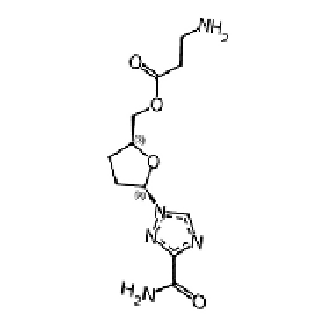 NCCC(=O)OC[C@@H]1CC[C@H](n2cnc(C(N)=O)n2)O1